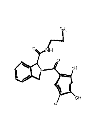 [C-]#[N+]CCNC(=O)C1c2ccccc2CN1C(=O)c1cc(Cl)c(O)cc1O